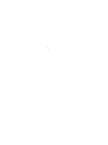 ClCCOCCOc1cccc2cccnc12